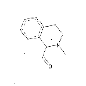 CN1CCc2ccccc2C1C=O